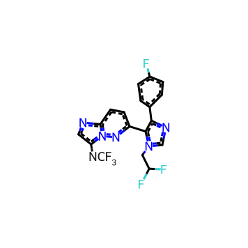 Fc1ccc(-c2ncn(CC(F)F)c2-c2ccc3ncc(NC(F)(F)F)n3n2)cc1